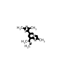 CO[C@H](C)c1cc(-c2sc(C)nc2C)cn2cc(C)nc12